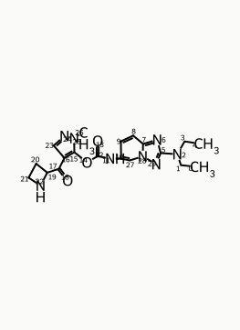 CCN(CC)c1nc2ccc(NC(=O)Oc3c(C(=O)C4CCN4)cnn3C)cn2n1